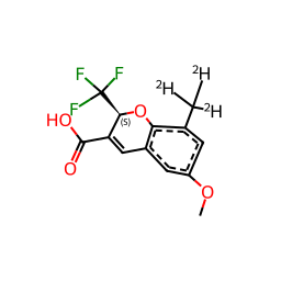 [2H]C([2H])([2H])c1cc(OC)cc2c1O[C@H](C(F)(F)F)C(C(=O)O)=C2